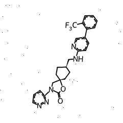 O=C1O[C@]2(CC[C@H](CNc3ccc(-c4ccccc4C(F)(F)F)cn3)CC2)CN1c1cccnn1